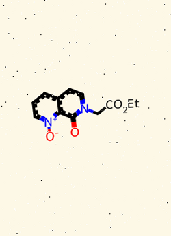 CCOC(=O)Cn1ccc2ccc[n+]([O-])c2c1=O